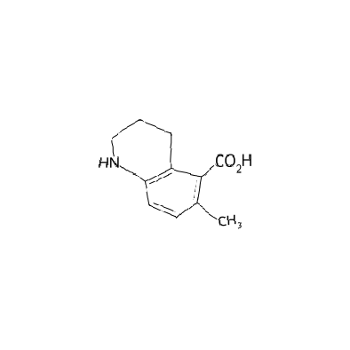 Cc1ccc2c(c1C(=O)O)CCCN2